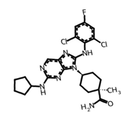 C[C@]1(C(N)=O)CC[C@@H](n2c(Nc3c(Cl)cc(F)cc3Cl)nc3cnc(NC4CCCC4)nc32)CC1